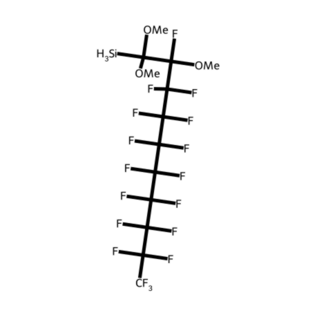 COC([SiH3])(OC)C(F)(OC)C(F)(F)C(F)(F)C(F)(F)C(F)(F)C(F)(F)C(F)(F)C(F)(F)C(F)(F)F